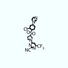 N#Cc1nc(N2CCC(S(=O)(=O)c3ccc(-n4ccnc4)cc3Cl)C2)cc(C(F)(F)F)n1